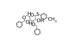 Cc1ccc(S[C@@H]2O[C@@H]3COC(c4ccccc4)O[C@@H]3[C@H](OCc3ccccc3)[C@H]2O)cc1